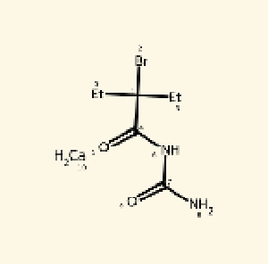 CCC(Br)(CC)C(=O)NC(N)=O.[CaH2]